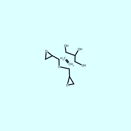 C(OCC1CO1)C1CO1.C=C.OCC(O)CO